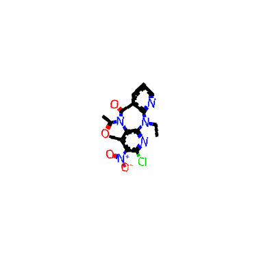 CCN1c2ncccc2C(=O)N(C(C)=O)c2c1nc(Cl)c([N+](=O)[O-])c2C